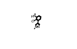 CNc1cccc(-c2cnn(C)c2)c1Cl